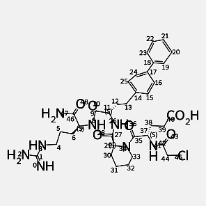 N=C(N)NCCC[C@H](NC(=O)[C@H](CCc1ccc(-c2ccccc2)cc1)NC(=O)[C@@H]1CCCCN1C(=O)[C@H](CCC(=O)O)NC(=O)CCl)C(N)=O